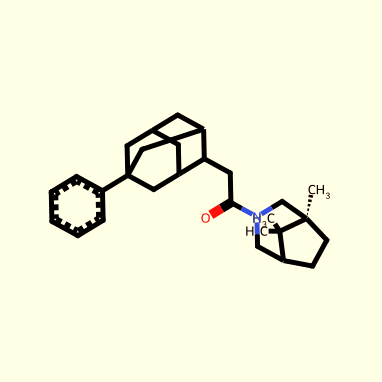 CC1(C)C2CC[C@]1(C)CN(C(=O)CC1C3CC4CC1CC(c1ccccc1)(C4)C3)C2